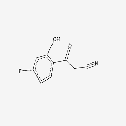 N#CCC(=O)c1ccc(F)cc1O